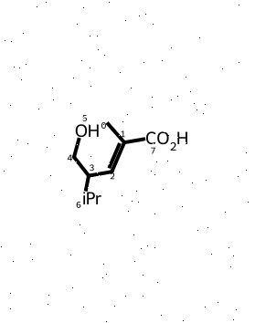 CC(=CC(CO)C(C)C)C(=O)O